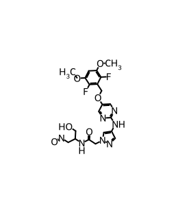 COc1cc(OC)c(F)c(COc2cnc(Nc3cnn(CC(=O)NC(CO)CN=O)c3)nc2)c1F